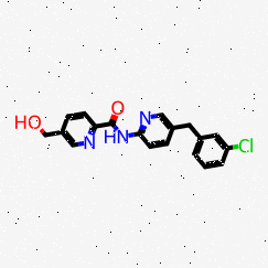 O=C(Nc1ccc(Cc2cccc(Cl)c2)cn1)c1ccc(CO)cn1